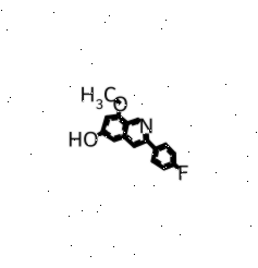 COc1cc(O)cc2cc(-c3ccc(F)cc3)ncc12